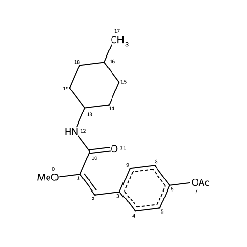 COC(=Cc1ccc(OC(C)=O)cc1)C(=O)NC1CCC(C)CC1